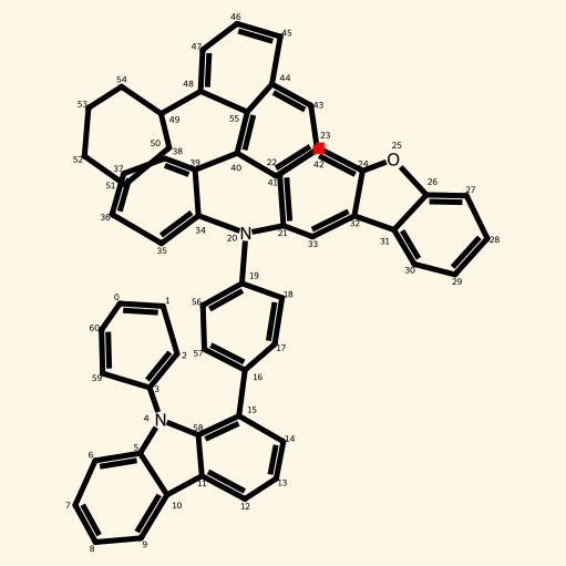 c1ccc(-n2c3ccccc3c3cccc(-c4ccc(N(c5ccc6oc7ccccc7c6c5)c5ccccc5-c5cccc6cccc(C7CCCCC7)c56)cc4)c32)cc1